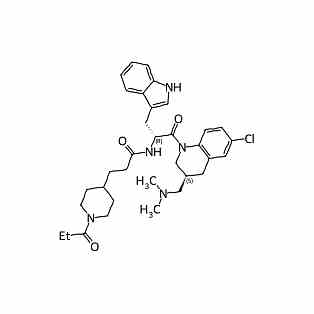 CCC(=O)N1CCC(CCC(=O)N[C@H](Cc2c[nH]c3ccccc23)C(=O)N2C[C@H](CN(C)C)Cc3cc(Cl)ccc32)CC1